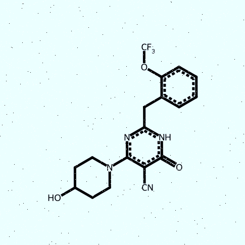 N#Cc1c(N2CCC(O)CC2)nc(Cc2ccccc2OC(F)(F)F)[nH]c1=O